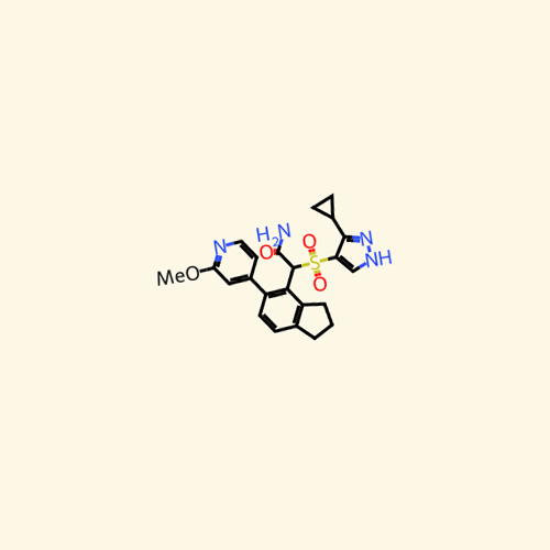 COc1cc(-c2ccc3c(c2C(C(N)=O)S(=O)(=O)c2c[nH]nc2C2CC2)CCC3)ccn1